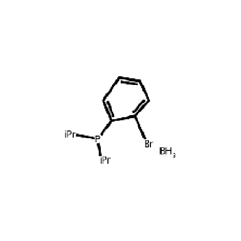 B.CC(C)P(c1ccccc1Br)C(C)C